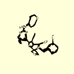 Cc1cnc(NC2CCOCC2)nc1-c1sc2c(c1C)C(=O)N(Cc1cccc(Cl)c1)C21COC1